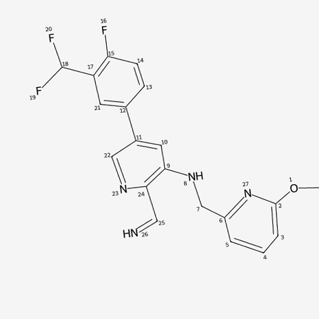 COc1cccc(CNc2cc(-c3ccc(F)c(C(F)F)c3)cnc2C=N)n1